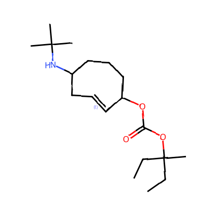 CCC(C)(CC)OC(=O)OC1/C=C/CC(NC(C)(C)C)CCC1